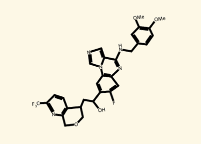 COc1ccc(CNc2nc3cc(F)c(C(O)CC4COCc5nc(C(F)(F)F)ccc54)cc3n3cncc23)cc1OC